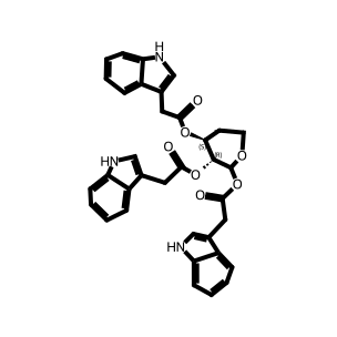 O=C(Cc1c[nH]c2ccccc12)OC1OC[CH][C@H](OC(=O)Cc2c[nH]c3ccccc23)[C@H]1OC(=O)Cc1c[nH]c2ccccc12